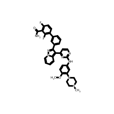 COc1ccc(Nc2nccc(-c3c(-c4cccc(-c5ccc(F)c(C(N)=O)c5F)c4)nn4ccccc34)n2)cc1N1CCN(C)CC1